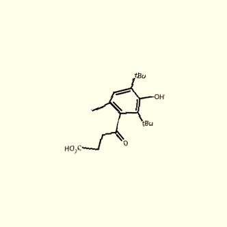 Cc1cc(C(C)(C)C)c(O)c(C(C)(C)C)c1C(=O)CCC(=O)O